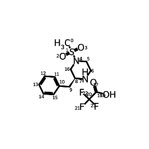 CS(=O)(=O)N1CCN[C@@H](Cc2ccccc2)C1.O=C(O)C(F)(F)F